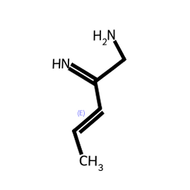 C/C=C/C(=N)CN